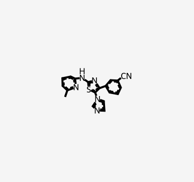 Cc1cccc(Nc2nc(-c3cccc(C#N)c3)c(-n3ccnc3)s2)n1